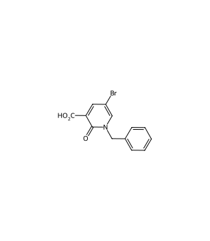 O=C(O)c1cc(Br)cn(Cc2ccccc2)c1=O